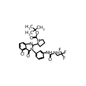 CC(C)(C)OC(=O)N1CCCC1c1nc2cccc(Cl)c2c(=O)n1-c1cccc(NC(=O)NCC(F)(F)F)c1